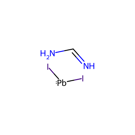 N=CN.[I][Pb][I]